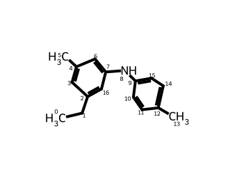 CCc1cc(C)cc(Nc2ccc(C)cc2)c1